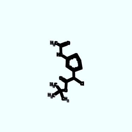 CC(=O)Nc1cccc(C(Cl)C(=O)OC(C)(C)C)c1